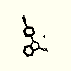 CN1CN(c2ccc(C#N)cc2)c2ccccc21.I